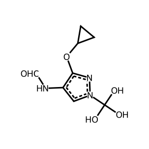 O=CNc1cn(C(O)(O)O)nc1OC1CC1